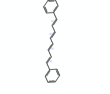 C(/C=C/C=C/c1ccccc1)=C\C=C\c1ccccc1